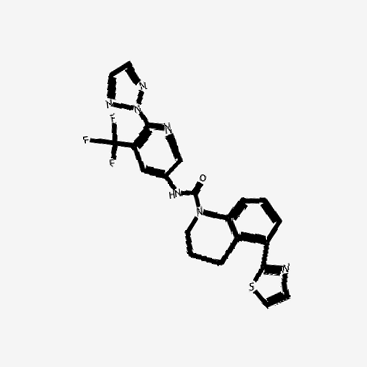 O=C(Nc1cnc(-n2nccn2)c(C(F)(F)F)c1)N1CCCc2c(-c3nccs3)cccc21